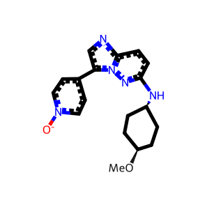 CO[C@H]1CC[C@H](Nc2ccc3ncc(-c4cc[n+]([O-])cc4)n3n2)CC1